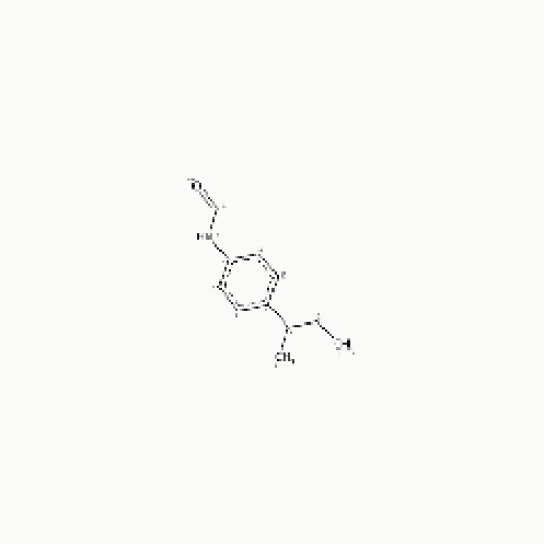 CCC(C)c1ccc(N[C]=O)cc1